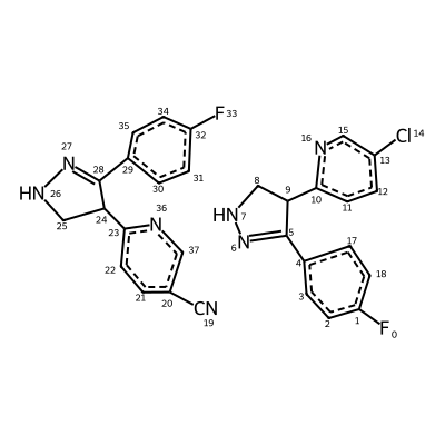 Fc1ccc(C2=NNCC2c2ccc(Cl)cn2)cc1.N#Cc1ccc(C2CNN=C2c2ccc(F)cc2)nc1